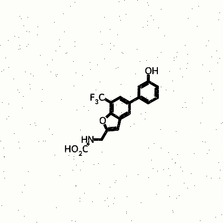 O=C(O)NCc1cc2cc(-c3cccc(O)c3)cc(C(F)(F)F)c2o1